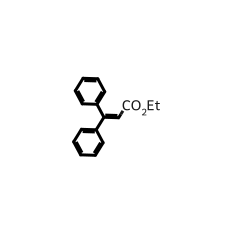 CCOC(=O)C=C(c1ccccc1)c1ccccc1